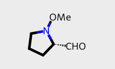 CON1CCC[C@H]1C=O